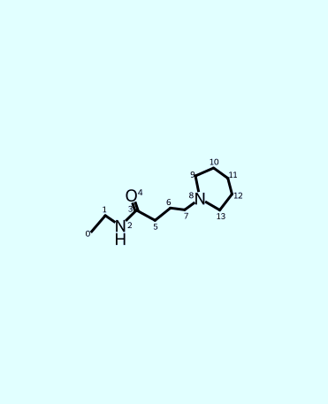 CCNC(=O)CCCN1CCCCC1